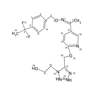 CC(=NOCc1ccc(C(C)(F)F)cc1)c1ccc(OCC2=NNNN2CCO)nc1